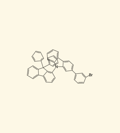 Brc1cccc(-c2ccc3c4ccccc4n(-c4cccc5c4C(c4ccccc4)(c4ccccc4)c4ccccc4-5)c3c2)c1